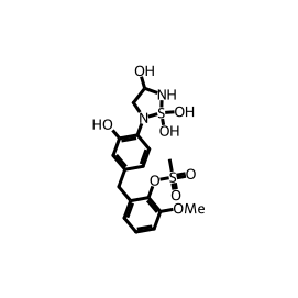 COc1cccc(Cc2ccc(N3CC(O)NS3(O)O)c(O)c2)c1OS(C)(=O)=O